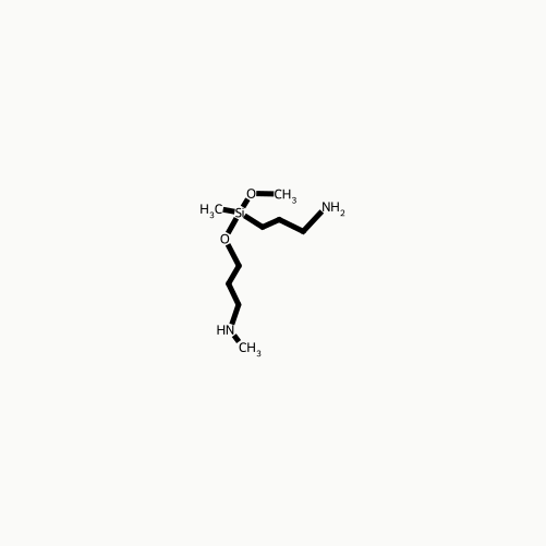 CNCCCO[Si](C)(CCCN)OC